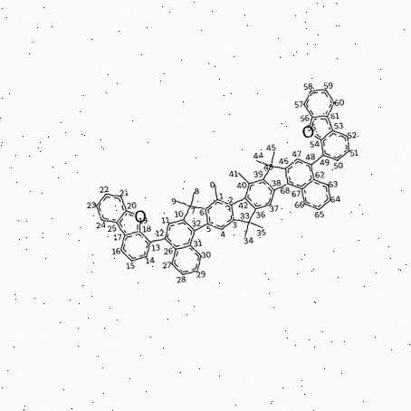 Cc1c2c(cc3c1C(C)(C)c1cc(-c4cccc5c4oc4ccccc45)c4ccccc4c1-3)C(C)(C)c1cc3c(c(C)c1-2)C(C)(C)c1cc(-c2cccc4c2oc2ccccc24)c2ccccc2c1-3